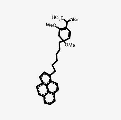 CCCCC(C(=O)O)C1=C(OC)CC(CCCCCCc2ccc3ccc4cccc5ccc2c3c45)(OC)C=C1